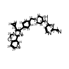 N#Cc1nccc(NC2CCN(Cc3ccc(-c4nc5n(c4C4CC4)COc4ccncc4-5)cc3)CC2)n1